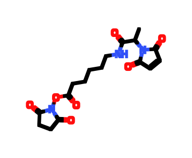 CC(C(=O)NCCCCCC(=O)ON1C(=O)CCC1=O)N1C(=O)C=CC1=O